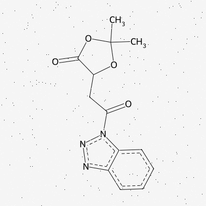 CC1(C)OC(=O)C(CC(=O)n2nnc3ccccc32)O1